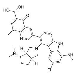 CNc1cc(Cl)cc2c1[nH]c1ncc(-c3cnc4c(c3)c(=O)c(C(O)O)cn4C)c(N3C[C@H]4CC[C@H](N(C)C)[C@H]4C3)c12